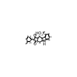 Cc1cccc(C2C(=O)C3CC4Nc5cccc(C(=O)O)c5C4CC3C2=O)c1